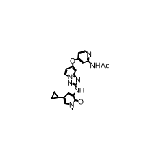 CC(=O)Nc1cc(Oc2ccn3nc(Nc4cc(C5CC5)cn(C)c4=O)nc3c2)ccn1